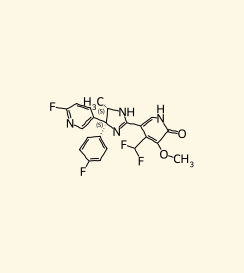 COc1c(C(F)F)c(C2=N[C@@](c3ccc(F)cc3)(c3ccc(F)nc3)[C@H](C)N2)c[nH]c1=O